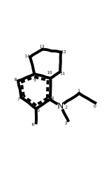 CCN(C)c1c(C)ccc2c1CCCC2